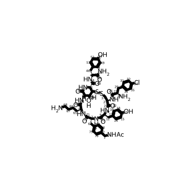 CC(=O)NCc1ccc(C[C@H]2NC(=O)[C@H](Cc3ccc(O)cc3)NC(=O)[C@H](NC(=O)[C@@H](N)Cc3ccc(Cl)cc3)CSSC3[C@@H](C(=O)N[C@H](Cc4ccc(O)cc4)C(N)=O)NC(=O)[C@@H](NC(=O)[C@H](CCCCN)NC2=O)[C@@H]3O)cc1